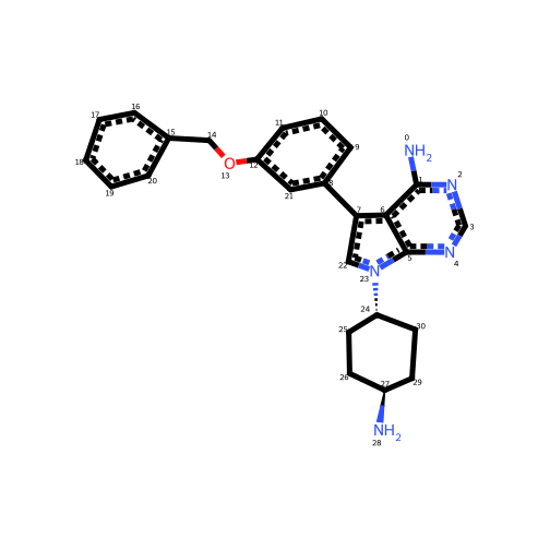 Nc1ncnc2c1c(-c1cccc(OCc3ccccc3)c1)cn2[C@H]1CC[C@H](N)CC1